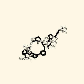 CCn1c(-c2cnccc2[C@H](C)OC)c2c3cc(ccc31)-c1cccc(c1)C[C@H](NC(=O)[C@H](C(C)C)N(C)C(=O)[C@@]1(O)CCN(C(=O)C#CCN(C)C)C1)C(=O)N1CCC[C@H](N1)C(=O)OCC(C)(C)C2